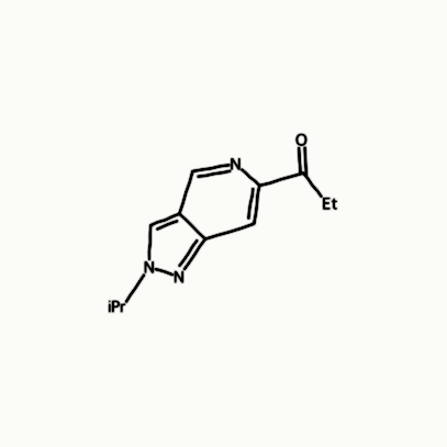 CCC(=O)c1cc2nn(C(C)C)cc2cn1